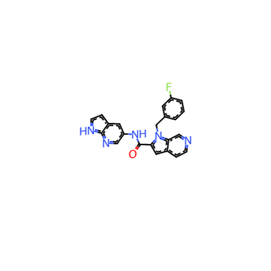 O=C(Nc1cnc2[nH]ccc2c1)c1cc2ccncc2n1Cc1cccc(F)c1